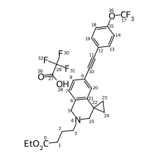 CCOC(=O)CCCN1Cc2ccc(C#Cc3ccc(OC(F)(F)F)cc3)cc2C2(CC2)C1.O=C(O)C(F)(F)F